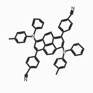 Cc1ccc(N(c2ccccc2)c2cc(-c3ccc(C#N)cc3)c3ccc4c(N(c5ccccc5)c5ccc(C)cc5)cc(-c5ccc(C#N)cc5)c5ccc2c3c54)cc1